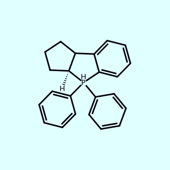 c1ccc([PH]2(c3ccccc3)c3ccccc3C3CCC[C@@H]32)cc1